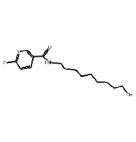 O=C(NCCCCCCCCCO)c1ccc(Cl)nc1